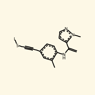 C=C(Nc1ccc(C#CSI)cc1C)c1ccnn1C